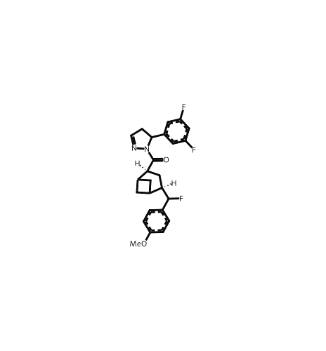 COc1ccc(C(F)[C@@H]2C[C@H](C(=O)N3N=CCC3c3cc(F)cc(F)c3)C3CC2C3)cc1